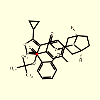 CC(C)(C)OC(=O)c1ccc(N2[C@@H]3CC[C@H]2C[C@@H](OC(=O)c2c(-c4ccccc4Cl)noc2C2CC2)C3)c(F)c1